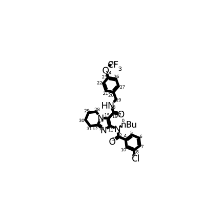 CCCCN(C(=O)c1cccc(Cl)c1)c1nc2n(c1C(=O)NCc1ccc(OC(F)(F)F)cc1)CCCC2